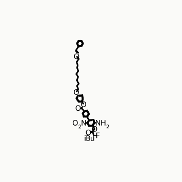 CC[C@H](C)[C@H](F)C(=O)Oc1cc([N+](=O)[O-])c(-c2ccc(C(=O)Oc3ccc(OCCCCCCCCCCCOC=Cc4ccccc4)cc3)cc2)cc1N